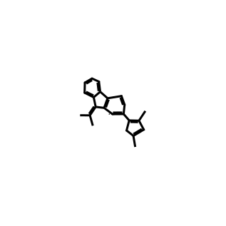 CC1=CC(C)=C(c2[c]c3c(cc2)-c2ccccc2C3=C(C)C)C1